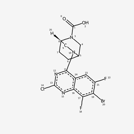 O=C(O)N1CC2CC[C@H]1CN2c1nc(Cl)nc2c(F)c(Br)c(F)cc12